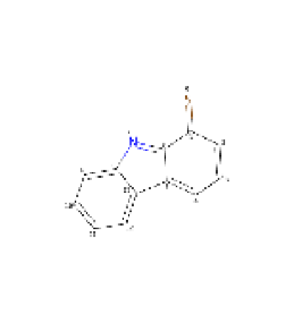 S=C1C=CC=C2C1=Nc1ccccc12